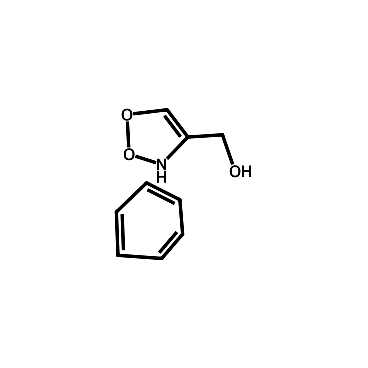 OCC1=COON1.c1ccccc1